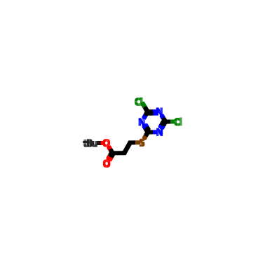 CC(C)(C)OC(=O)CCSc1nc(Cl)nc(Cl)n1